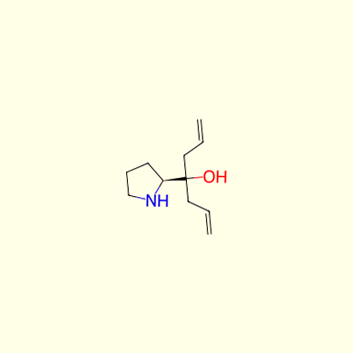 C=CCC(O)(CC=C)[C@@H]1CCCN1